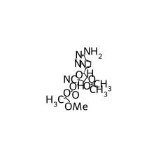 COC[C@@H](C)OC(=O)OC[C@@]1(C#N)O[C@@H](c2ccc3c(N)ncnn23)[C@@H]2OC(C)(C)O[C@@H]21